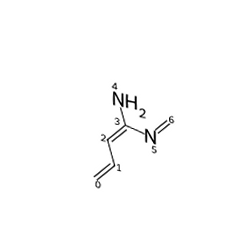 C=C/C=C(/N)N=C